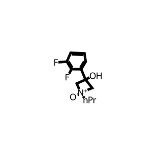 CCC[N+]1([O-])CC(O)(c2cccc(F)c2F)C1